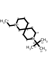 CCN1CCCC2(CCN(C(C)(C)C)CC2)C1